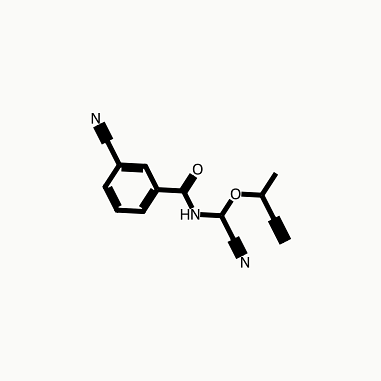 C#CC(C)OC(C#N)NC(=O)c1cccc(C#N)c1